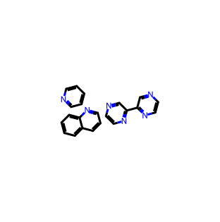 c1ccc2ncccc2c1.c1ccncc1.c1cnc(-c2cnccn2)cn1